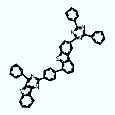 c1ccc(-c2nc(-c3ccccc3)nc(-c3ccc4sc5c(-c6ccc(-c7nc(-c8ccccc8)c8sc9ccccc9c8n7)cc6)cccc5c4c3)n2)cc1